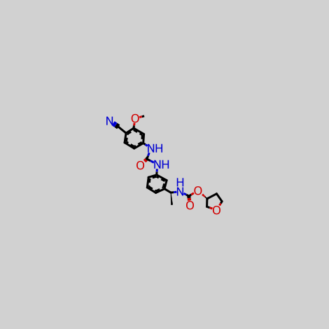 COc1cc(NC(=O)Nc2cccc([C@H](C)NC(=O)O[C@H]3CCOC3)c2)ccc1C#N